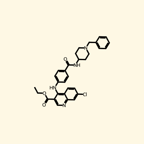 CCOC(=O)c1cnc2cc(Cl)ccc2c1Nc1ccc(C(=O)NC2CCN(Cc3ccccc3)CC2)cc1